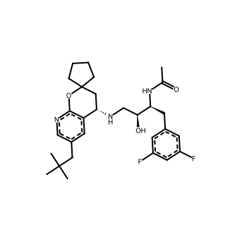 CC(=O)N[C@@H](Cc1cc(F)cc(F)c1)[C@@H](O)CN[C@H]1CC2(CCCC2)Oc2ncc(CC(C)(C)C)cc21